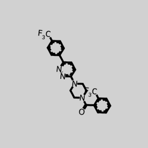 O=C(c1ccccc1C(F)(F)F)N1CCN(c2ccc(-c3ccc(C(F)(F)F)cc3)nn2)CC1